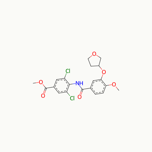 COC(=O)c1cc(Cl)c(NC(=O)c2ccc(OC)c(OC3CCOC3)c2)c(Cl)c1